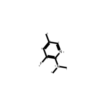 Cc1cnc(N(C)C)c(F)c1